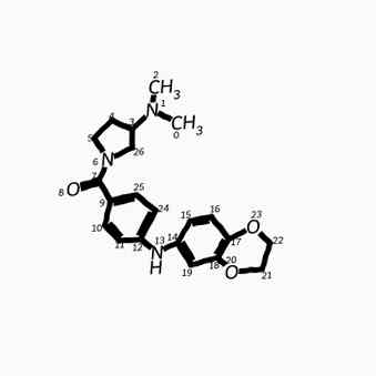 CN(C)C1CCN(C(=O)c2ccc(Nc3ccc4c(c3)OCCO4)cc2)C1